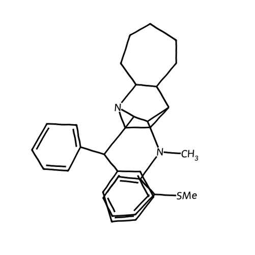 CSc1ccccc1N(C)C1C2CCN(C3CCCCCC23)C1C(c1ccccc1)c1ccccc1